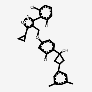 Cc1cc(C)cc(C2CC(O)(c3ccc(OCc4c(-c5c(Cl)cccc5Cl)noc4C4CC4)cc3Cl)C2)c1